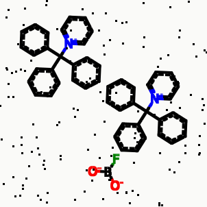 [O-]B([O-])F.c1ccc(C(c2ccccc2)(c2ccccc2)[n+]2ccccc2)cc1.c1ccc(C(c2ccccc2)(c2ccccc2)[n+]2ccccc2)cc1